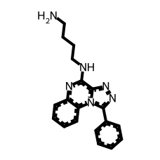 NCCCCNc1nc2ccccc2n2c(-c3ccccc3)nnc12